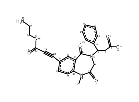 CN1C(=O)CN(C(CC(=O)O)c2ccccc2)C(=O)c2cc(C#CC(=O)NCCN)ccc21